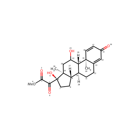 COC(=O)C(=O)[C@@]1(O)CC[C@H]2[C@@H]3CCC4=CC(=O)C=C[C@]4(C)[C@H]3C(O)C[C@@]21C